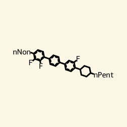 CCCCCCCCCc1ccc(-c2ccc(-c3ccc(C4CCC(CCCCC)CC4)c(F)c3)cc2)c(F)c1F